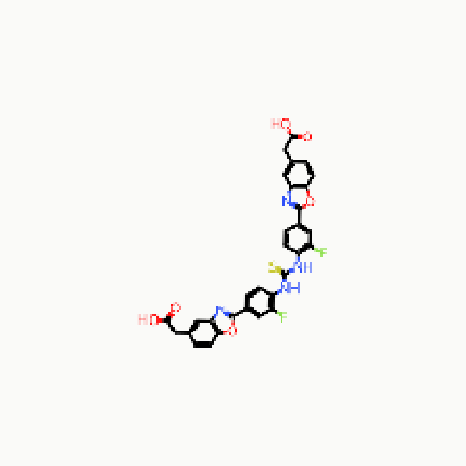 O=C(O)Cc1ccc2oc(-c3ccc(NC(=S)Nc4ccc(-c5nc6cc(CC(=O)O)ccc6o5)cc4F)c(F)c3)nc2c1